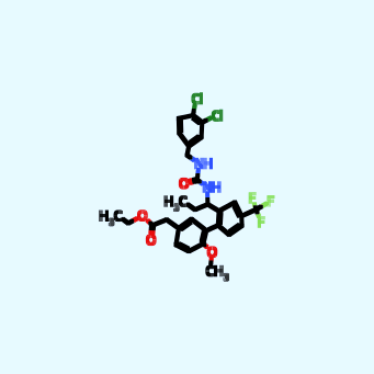 CCOC(=O)Cc1ccc(OC)c(-c2ccc(C(F)(F)F)cc2C(CC)NC(=O)NCc2ccc(Cl)c(Cl)c2)c1